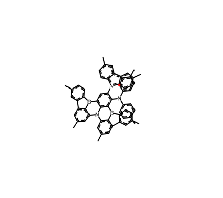 Cc1ccc(N(c2ccc(C)cc2)c2c(-n3c4ccc(C)cc4c4cc(C)ccc43)cc3c4c2B2c5ccc(C)cc5-c5cc(C)cc(c52)N4c2cc(C)cc4c2B3c2ccc(C)cc2-4)cc1